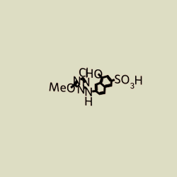 COc1nc(Cl)nc(Nc2ccc3cc(S(=O)(=O)O)cc(O)c3c2)n1